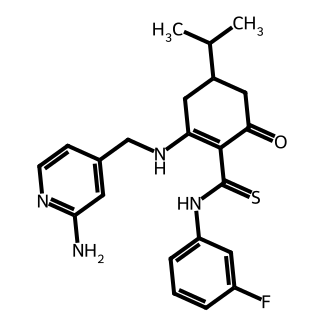 CC(C)C1CC(=O)C(C(=S)Nc2cccc(F)c2)=C(NCc2ccnc(N)c2)C1